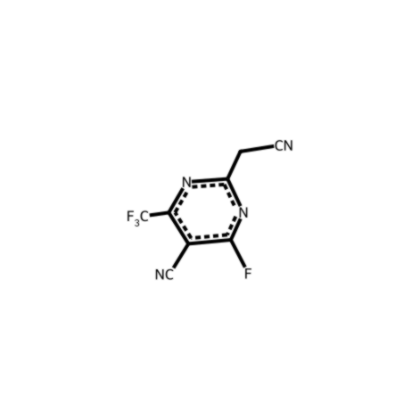 N#CCc1nc(F)c(C#N)c(C(F)(F)F)n1